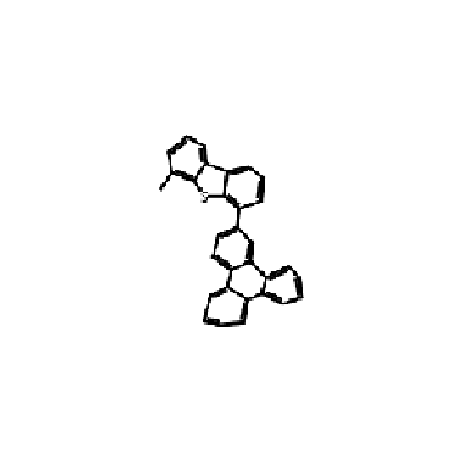 Cc1cccc2c1sc1c(-c3ccc4c5ccccc5c5ccccc5c4c3)cccc12